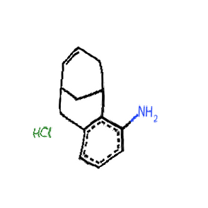 Cl.Nc1cccc2c1C1CC=CC(C2)C1